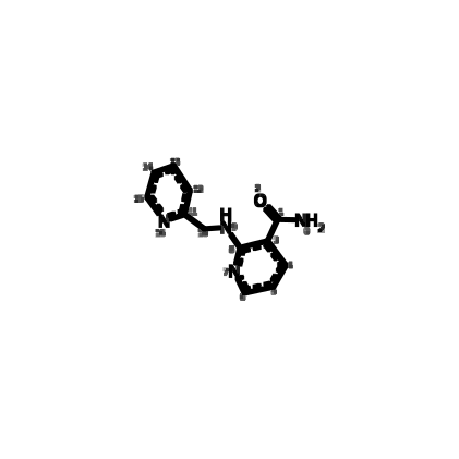 NC(=O)c1cccnc1NCc1ccccn1